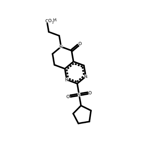 O=C(O)CCN1CCc2nc(S(=O)(=O)C3CCCC3)ncc2C1=O